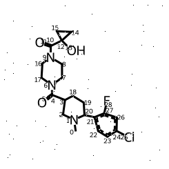 CN1CC(C(=O)N2CCN(C(=O)C3(O)CC3)CC2)CCC1c1ccc(Cl)cc1F